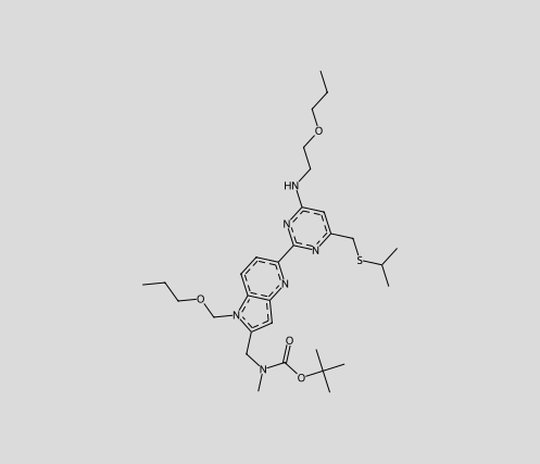 CCCOCCNc1cc(CSC(C)C)nc(-c2ccc3c(cc(CN(C)C(=O)OC(C)(C)C)n3COCCC)n2)n1